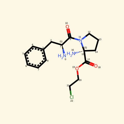 N[C@@H](Cc1ccccc1)C(=O)N1CCC[C@@]1(N)C(=O)OCCCl